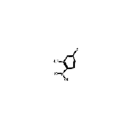 Nc1cc(Br)ccc1B(O)O